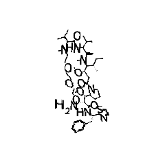 C=C([C@@H](NC(=O)[C@H](C(C)C)N(C)CCOCCOCCON)C(C)C)N(C)[C@@H]([C@@H](C)CC)[C@@H](CC(=O)N1CCC[C@H]1[C@H](OC)[C@@H](C)C(=O)N[C@@H](Cc1ccccc1)c1nccs1)OC